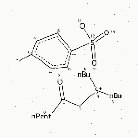 CCCCCC(=O)C[S+](CCCC)CCCC.Cc1ccc(S(=O)(=O)[O-])cc1